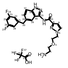 NCCOCCn1ccc(C(=O)Nc2n[nH]c3ccc(Cc4cc(F)cc(F)c4)cc23)n1.O=C(O)C(F)(F)F